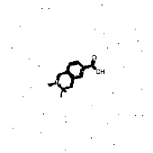 C[C@@H]1Cc2cc(C(=O)O)ccc2CN1C